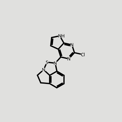 Clc1nc(N2SN3CCc4cccc2c43)c2cc[nH]c2n1